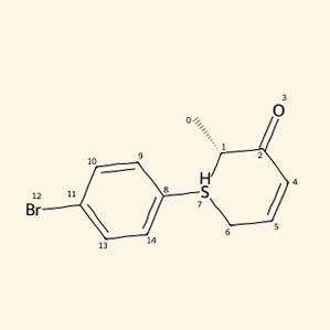 C[C@@H]1C(=O)C=CC[SH]1c1ccc(Br)cc1